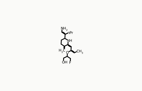 C=C1CCC(C(=CN)CCC)N/C1=C/C(=C\C)OC(CO)CF